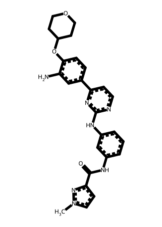 Cn1ccc(C(=O)Nc2cccc(Nc3nccc(-c4ccc(OC5CCOCC5)c(N)c4)n3)c2)n1